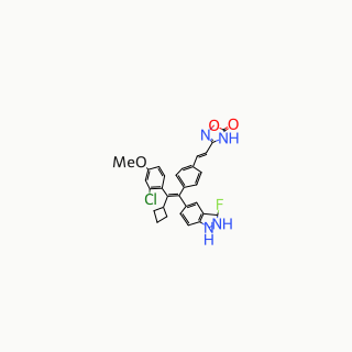 COc1ccc(/C(=C(\c2ccc(/C=C/c3noc(=O)[nH]3)cc2)c2ccc3c(c2)C(F)NN3)C2CCC2)c(Cl)c1